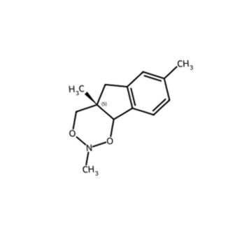 Cc1ccc2c(c1)C[C@@]1(C)CON(C)OC21